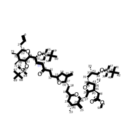 C=CC[C@@H]1O[C@@H]([C@H](/C=C/C(=O)CCC2CC(=C)[C@H](CCC3C[C@@H](C)C(=C)[C@@H](CC4O[C@H](C[C@H](C)CO[Si](C)(C)C(C)(C)C)[C@H](C)[C@H]4CC(=O)OC)O3)O2)O[Si](C)(C)C(C)(C)C)[C@@H](O[Si](C)(C)C(C)(C)C)[C@@H](C)[C@H]1C